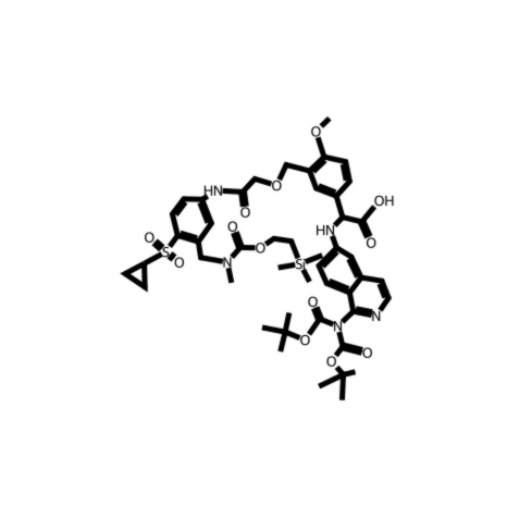 COc1ccc(C(Nc2ccc3c(N(C(=O)OC(C)(C)C)C(=O)OC(C)(C)C)nccc3c2)C(=O)O)cc1COCC(=O)Nc1ccc(S(=O)(=O)C2CC2)c(CN(C)C(=O)OCC[Si](C)(C)C)c1